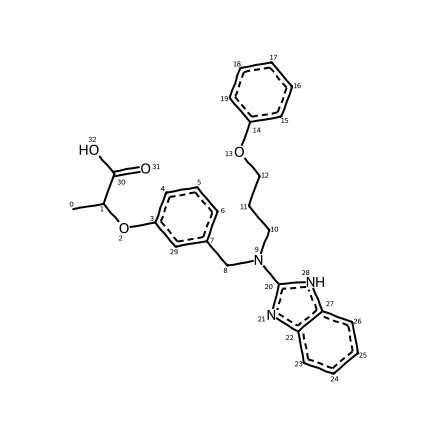 CC(Oc1cccc(CN(CCCOc2ccccc2)c2nc3ccccc3[nH]2)c1)C(=O)O